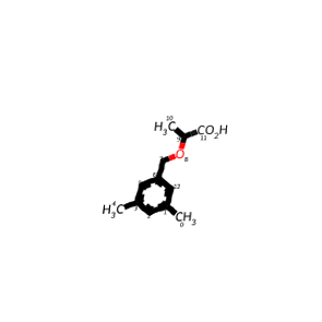 Cc1cc(C)cc(COC(C)C(=O)O)c1